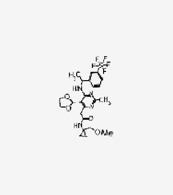 COCC1(NC(=O)Cc2nc(C)nc(NC(C)c3cccc(S(F)(F)(F)(F)F)c3)c2C2OCCO2)CC1